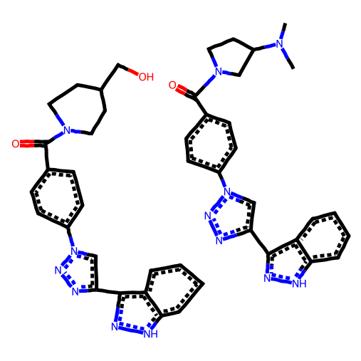 CN(C)C1CCN(C(=O)c2ccc(-n3cc(-c4n[nH]c5ccccc45)nn3)cc2)C1.O=C(c1ccc(-n2cc(-c3n[nH]c4ccccc34)nn2)cc1)N1CCC(CO)CC1